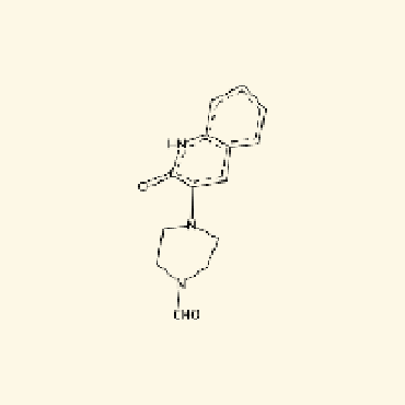 O=CN1CCN(c2cc3ccccc3[nH]c2=O)CC1